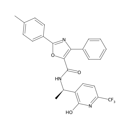 Cc1ccc(-c2nc(-c3ccccc3)c(C(=O)N[C@H](C)c3ccc(C(F)(F)F)nc3O)o2)cc1